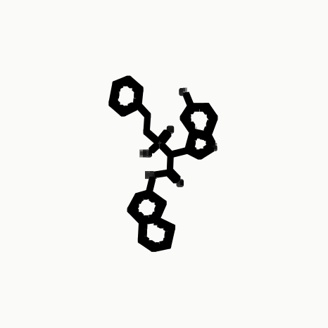 O=C(Nc1ccc2ccccc2c1)C(c1csc2ccc(Cl)cc12)P(=O)(O)CCc1ccccc1